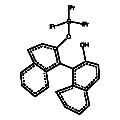 CC(C)[Si](Oc1ccc2ccccc2c1-c1c(O)ccc2ccccc12)(C(C)C)C(C)C